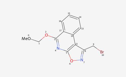 COCOc1nc2onc(CBr)c2c2ccccc12